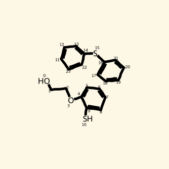 OCCOc1ccccc1S.c1ccc(Sc2ccccc2)cc1